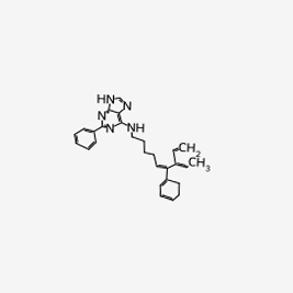 C=CC(=C\C)/C(=C\CCCCNc1nc(-c2ccccc2)nc2[nH]cnc12)C1=CC=CCC1